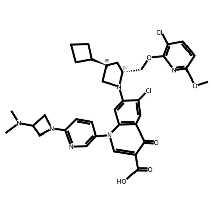 COc1ccc(Cl)c(OC[C@H]2C[C@H](C3CCC3)CN2c2cc3c(cc2Cl)c(=O)c(C(=O)O)cn3-c2ccc(N3CC(N(C)C)C3)nc2)n1